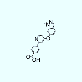 Cc1cc(-c2cc(Oc3ccc4cnn(C)c4c3)ccn2)ccc1C(=O)O